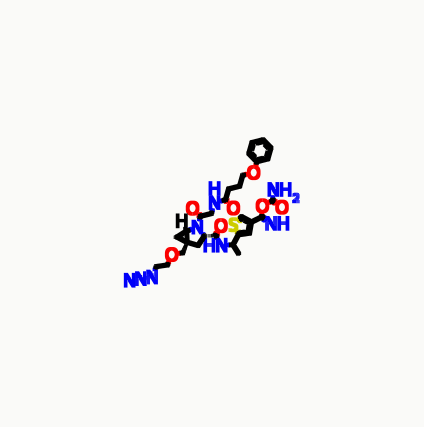 CC(NC(=O)[C@@H]1C[C@]2(COCCN=[N+]=[N-])C[C@@H]2N1C(=O)CNC(=O)CCCOc1ccccc1)c1cc(C(=N)OC(N)=O)cs1